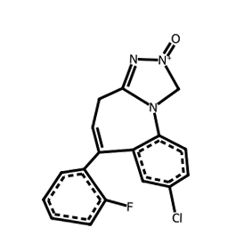 O=[N+]1CN2C(=N1)CC=C(c1ccccc1F)c1cc(Cl)ccc12